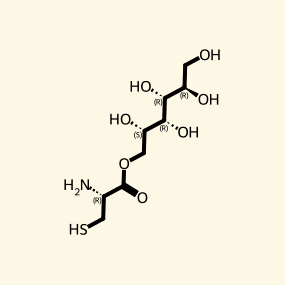 N[C@@H](CS)C(=O)OC[C@H](O)[C@@H](O)[C@H](O)[C@H](O)CO